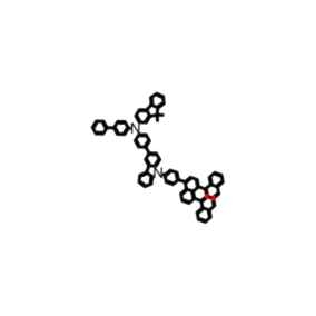 CC1(C)c2ccccc2-c2ccc(N(c3ccc(-c4ccccc4)cc3)c3ccc(-c4ccc5c(c4)c4ccccc4n5-c4ccc(-c5ccc(-c6cccc7ccccc67)c6c(-c7cccc8ccccc78)cccc56)cc4)cc3)cc21